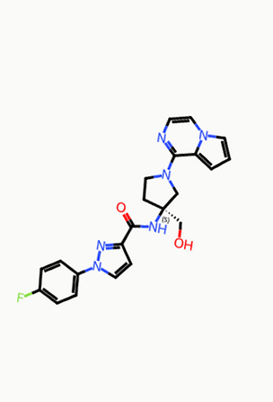 O=C(N[C@@]1(CO)CCN(c2nccn3cccc23)C1)c1ccn(-c2ccc(F)cc2)n1